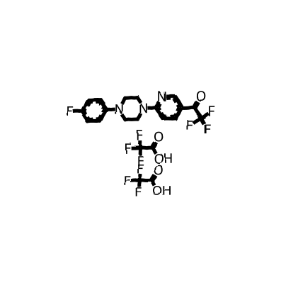 O=C(O)C(F)(F)F.O=C(O)C(F)(F)F.O=C(c1ccc(N2CCN(c3ccc(F)cc3)CC2)nc1)C(F)(F)F